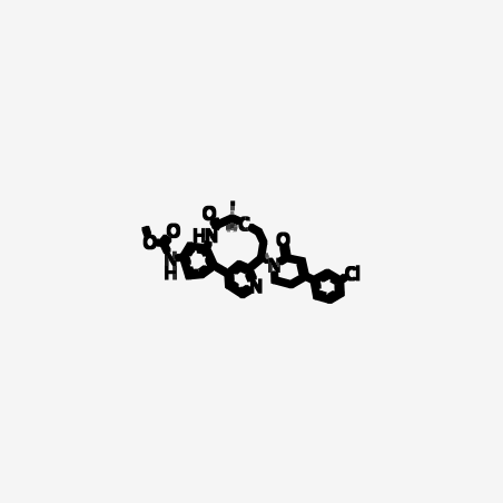 COC(=O)Nc1ccc2c(c1)NC(=O)[C@H](C)CCC[C@H](N1CCC(c3cccc(Cl)c3)=CC1=O)c1cc-2ccn1